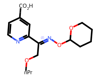 CCCOC/C(=N\OC1CCCCO1)c1cc(C(=O)O)ccn1